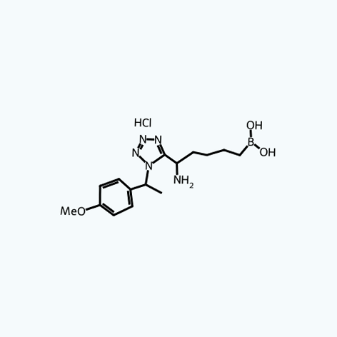 COc1ccc(C(C)n2nnnc2C(N)CCCCB(O)O)cc1.Cl